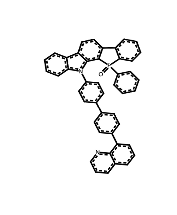 O=P1(c2ccccc2)c2ccccc2-c2ccc3c4ccccc4n(-c4ccc(-c5ccc(-c6cccc7cccnc67)cc5)cc4)c3c21